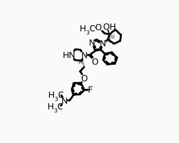 COC[C@]1(O)CCCC[C@H]1n1cnc(C(=O)N2CCNC[C@H]2CCOc2ccc(CN(C)C)cc2F)c1-c1ccccc1